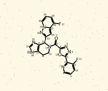 O=C(c1nnc(-c2ncccc2F)o1)N1CCc2[nH]cnc2[C@H]1c1cc2c(F)cccn2n1